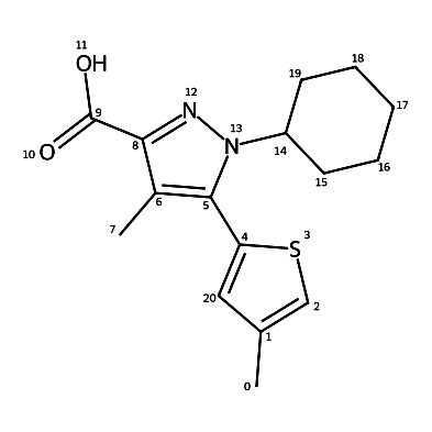 Cc1csc(-c2c(C)c(C(=O)O)nn2C2CCCCC2)c1